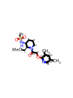 COC[C@H]1[C@@H](NS(=O)(=O)C(C)C)CCCN1C(=O)COc1ncc(C)cc1C